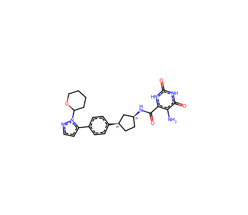 Nc1c(C(=O)N[C@H]2CC[C@@H](c3ccc(-c4ccnn4C4CCCCO4)cc3)C2)[nH]c(=O)[nH]c1=O